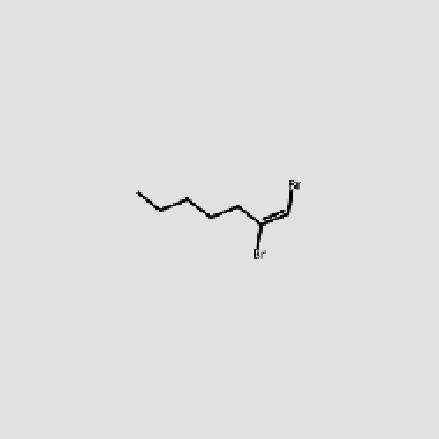 CCCCC/C(Br)=C\Br